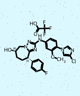 COc1cc(Nc2nc3n(n2)C[C@H](O)CC[C@H]3c2ccc(F)cc2)ccc1-n1cnc(Cl)c1.O=C(O)C(F)(F)F